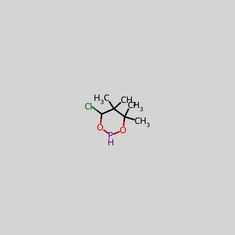 CC1(C)OPOC(Cl)C1(C)C